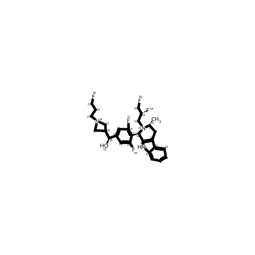 C[C@@H]1Cc2c([nH]c3ccccc23)[C@@H](c2c(F)cc([C@@H](O)C3CN(CCCF)C3)cc2F)N1C[C@@H](F)CF